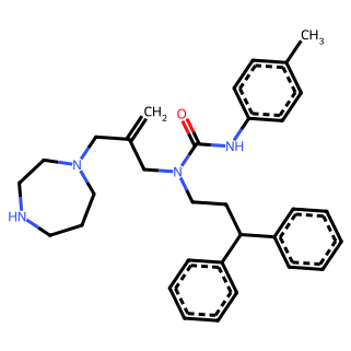 C=C(CN1CCCNCC1)CN(CCC(c1ccccc1)c1ccccc1)C(=O)Nc1ccc(C)cc1